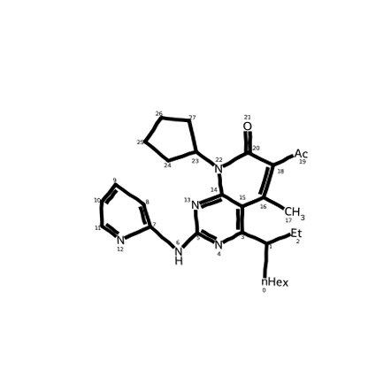 CCCCCCC(CC)c1nc(Nc2ccccn2)nc2c1c(C)c(C(C)=O)c(=O)n2C1CCCC1